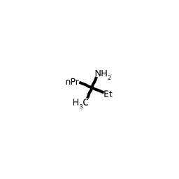 [CH2]CCC(C)(N)CC